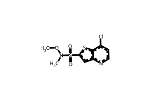 CON(C)S(=O)(=O)c1cc2nccc(Cl)c2s1